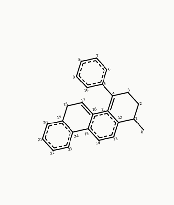 CC1CCC(c2ccccc2)=c2c1ccc1c2=CCc2ccccc2-1